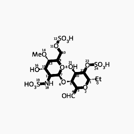 CC[C@@H]1OC(C=O)[C@H](O[C@@H]2OC(COS(=O)(=O)O)[C@@H](OC)[C@@H](O)C2NS(=O)(=O)O)[C@@H](O)C1OS(=O)(=O)O